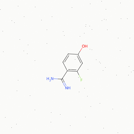 N=C(N)c1ccc(O)cc1F